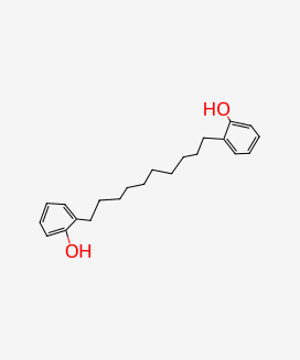 Oc1ccccc1CCCCCCCCCCc1ccccc1O